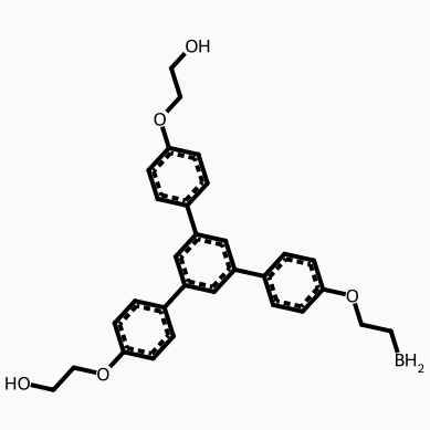 BCCOc1ccc(-c2cc(-c3ccc(OCCO)cc3)cc(-c3ccc(OCCO)cc3)c2)cc1